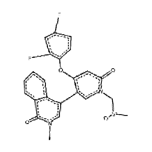 Cn1cc(-c2cn(C[S+](C)[O-])c(=O)cc2Oc2ccc(F)cc2F)c2ccccc2c1=O